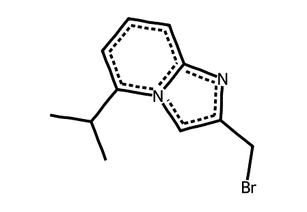 CC(C)c1cccc2nc(CBr)cn12